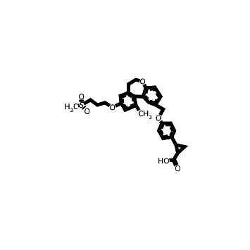 Cc1cc(OCCCS(C)(=O)=O)cc2c1-c1cc(COc3ccc(C4CC4C(=O)O)cc3)ccc1OCC2